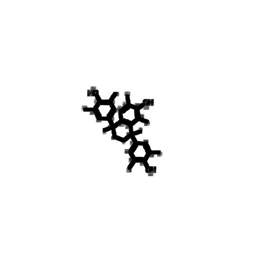 Cc1cc(C2(C)CCC(C)(c3cc(C)c(O)c(C)c3)c3c2cc(C)c(O)c3C)cc(C)c1O